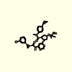 CN(C(=O)[C@H]1CC(O[Si](C)(C)C(C)(C)C)CN1c1cc(NC(=O)[C@H]2C[C@@H]2c2cccc(Cl)c2)ncn1)c1ccc(C2CC2)cc1